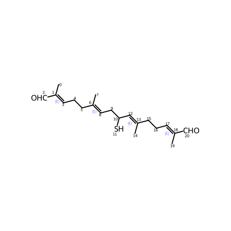 C/C(C=O)=C\CC/C(C)=C/CC(S)/C=C(\C)CC/C=C(\C)C=O